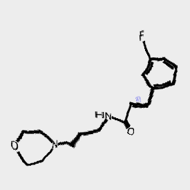 O=C(/C=C/c1cccc(F)c1)NCCCN1CCOCC1